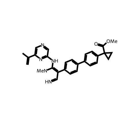 C=C(C)c1cncc(N/C(NC)=C(/C=N)c2ccc(-c3ccc(C4(C(=O)OC)CC4)cc3)cc2)n1